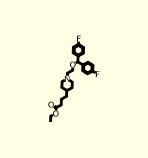 CCOC(=O)CCCC1CCN(CCOC(c2ccc(F)cc2)c2ccc(F)cc2)CC1